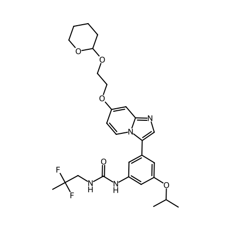 CC(C)Oc1cc(NC(=O)NCC(C)(F)F)cc(-c2cnc3cc(OCCOC4CCCCO4)ccn23)c1